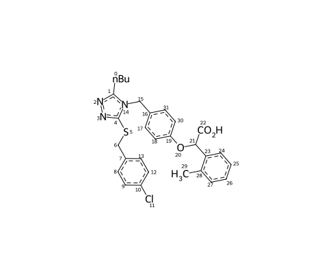 CCCCc1nnc(SCc2ccc(Cl)cc2)n1Cc1ccc(OC(C(=O)O)c2ccccc2C)cc1